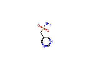 NS(=O)(=O)Cc1cncnc1